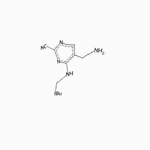 CC(C)(C)CNc1nc(C#N)ncc1CN